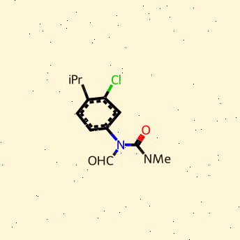 CNC(=O)N(C=O)c1ccc(C(C)C)c(Cl)c1